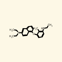 CCNc1cccc(Oc2cccc3cc(N(CC)CC)ccc23)c1C